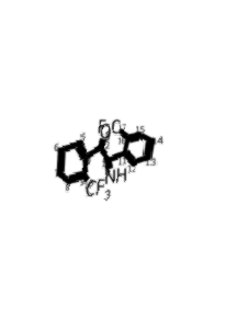 N=C(C(=O)c1ccccc1C(F)(F)F)c1ccccc1C(F)(F)F